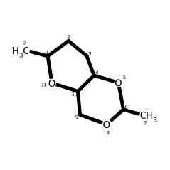 CC1CCC2OC(C)OCC2O1